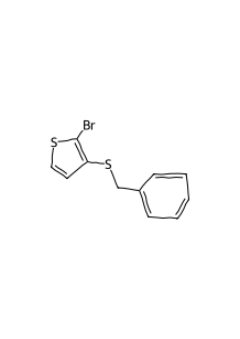 Brc1sccc1SCc1ccccc1